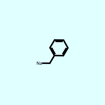 [Na][CH2]c1ccccc1